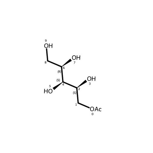 CC(=O)OC[C@H](O)[C@@H](O)[C@H](O)CO